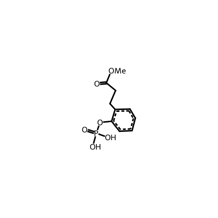 COC(=O)CCc1ccccc1OP(=O)(O)O